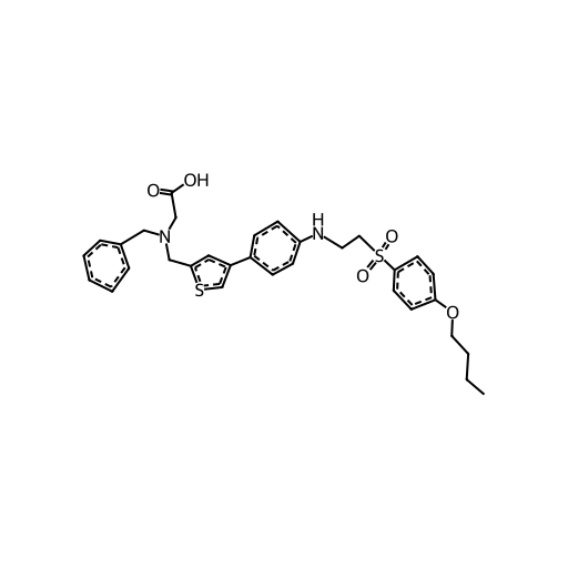 CCCCOc1ccc(S(=O)(=O)CCNc2ccc(-c3csc(CN(CC(=O)O)Cc4ccccc4)c3)cc2)cc1